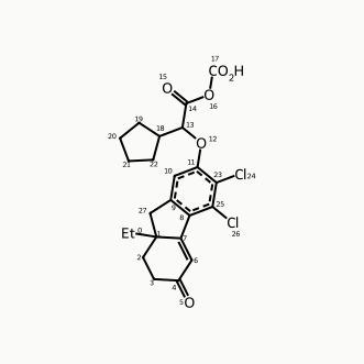 CCC12CCC(=O)C=C1c1c(cc(OC(C(=O)OC(=O)O)C3CCCC3)c(Cl)c1Cl)C2